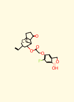 C=CC1CCC23CCCC(C(OC(=O)COc4cc5c(cc4F)B(O)OC5)C1)C2C(=O)CC3